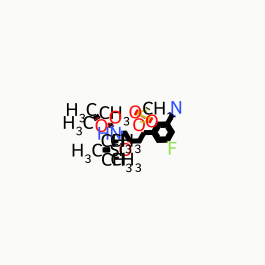 CC(C)(C)OC(=O)NCC(CC(OS(C)(=O)=O)c1cc(F)cc(C#N)c1)O[Si](C)(C)C(C)(C)C